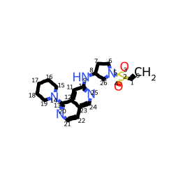 C=CS(=O)(=O)N1CCC(Nc2cc3c(N4CCCCC4)nccc3cn2)C1